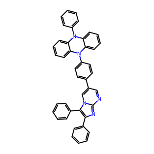 c1ccc(-c2nc3ncc(-c4ccc(N5c6ccccc6N(c6ccccc6)c6ccccc65)cc4)cn3c2-c2ccccc2)cc1